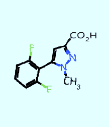 Cn1nc(C(=O)O)cc1-c1c(F)cccc1F